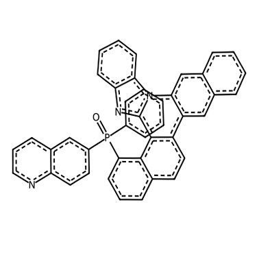 O=P(c1ccccc1)(c1ccc2ncccc2c1)c1cccc2ccc3c4cc5ccccc5cc4n4c5ccccc5nc4c3c12